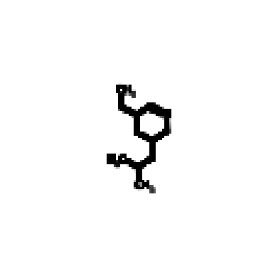 CCC1C=NCC(CC(C)C)C1